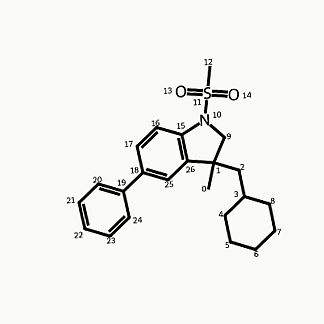 CC1(CC2CCCCC2)CN(S(C)(=O)=O)c2ccc(-c3ccccc3)cc21